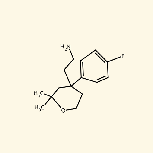 CC1(C)CC(CCN)(c2ccc(F)cc2)CCO1